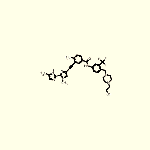 Cc1cnc(-c2nc(C#Cc3cc(C(=O)Nc4ccc(CN5CCN(CCO)CC5)c(C(F)(F)F)c4)ccc3C)cn2C)[nH]1